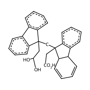 O=C(O)CC1(CC2(CC(O)O)c3ccccc3-c3ccccc32)c2ccccc2C2C=CC=CC21